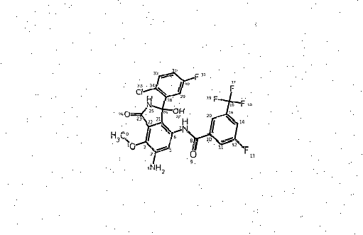 COc1c(N)cc(NC(=O)c2cc(F)cc(C(F)(F)F)c2)c2c1C(=O)NC2(O)c1cc(F)ccc1Cl